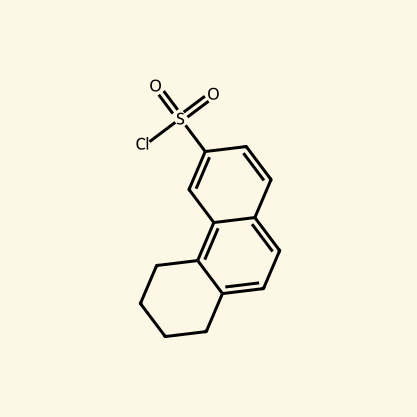 O=S(=O)(Cl)c1ccc2ccc3c(c2c1)CCCC3